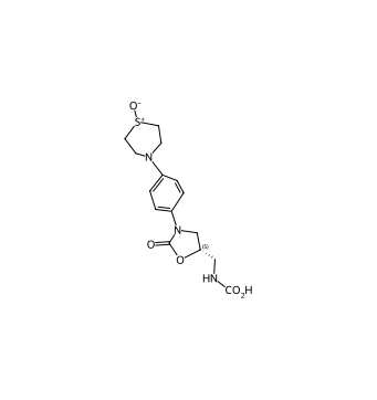 O=C(O)NC[C@H]1CN(c2ccc(N3CC[S+]([O-])CC3)cc2)C(=O)O1